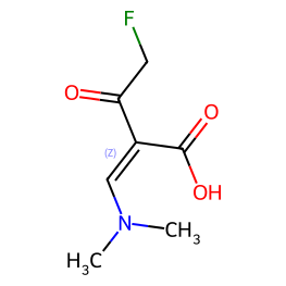 CN(C)/C=C(\C(=O)O)C(=O)CF